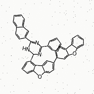 c1ccc(C2=NC(c3cccc4oc5ccc(-c6ccc7c(c6)oc6ccccc67)cc5c34)NC(c3ccc4ccccc4c3)=N2)cc1